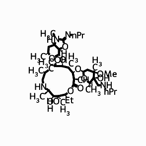 CCC/N=C1\O[C@H]2[C@H](O[C@@H]3[C@@H](C)[C@H](O[C@H]4C[C@@](C)(OC)[C@](O)(CNCCC)[C@H](C)O4)[C@@H](C)C(=O)O[C@H](CC)[C@@](C)(O)[C@H](O)[C@@H](C)NC[C@H](C)C[C@@]3(C)O)O[C@H](C)C[C@@H]2N1C